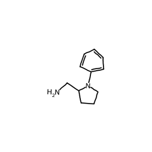 NCC1CCCN1c1ccccc1